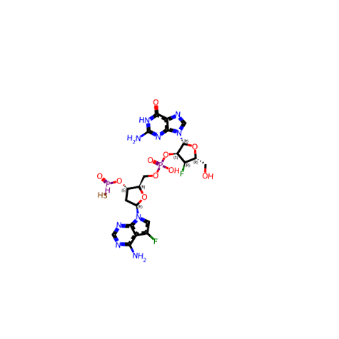 Nc1nc2c(ncn2[C@@H]2O[C@H](CO)[C@@H](F)[C@H]2OP(=O)(O)OC[C@H]2O[C@@H](n3cc(F)c4c(N)ncnc43)C[C@@H]2O[PH](=O)S)c(=O)[nH]1